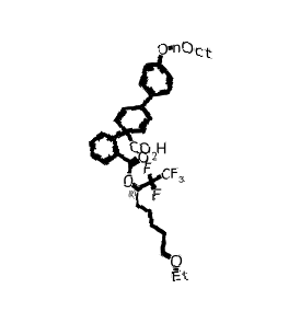 CCCCCCCCOc1ccc(C2C=CC(C(=O)O)(c3ccccc3C(=O)O[C@H](CCCCCOCC)C(F)(F)C(F)(F)F)C=C2)cc1